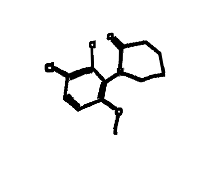 COc1ccc(Cl)c(Cl)c1N1CCCCC1=O